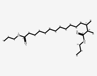 CCCOC(=O)CCCCCCCCCCCC(C)C(C)C(=O)OCCC